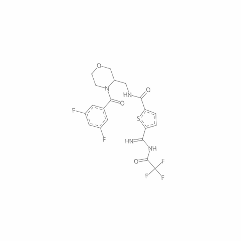 N=C(NC(=O)C(F)(F)F)c1ccc(C(=O)NCC2COCCN2C(=O)c2cc(F)cc(F)c2)s1